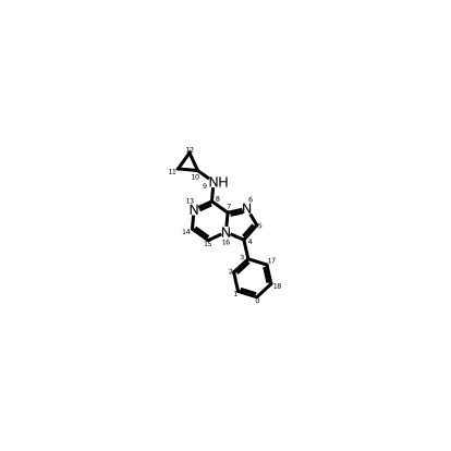 c1ccc(-c2cnc3c(NC4CC4)nccn23)cc1